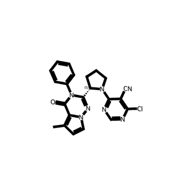 Cc1ccn2nc([C@@H]3CCCN3c3ncnc(Cl)c3C#N)n(-c3ccccc3)c(=O)c12